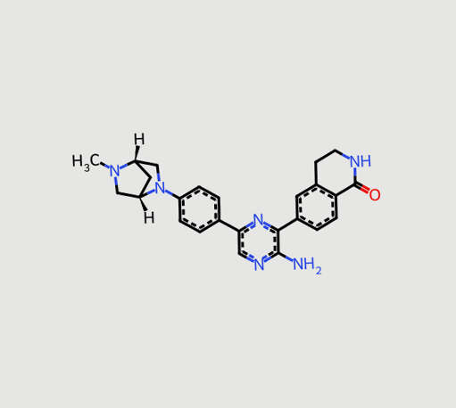 CN1C[C@@H]2C[C@H]1CN2c1ccc(-c2cnc(N)c(-c3ccc4c(c3)CCNC4=O)n2)cc1